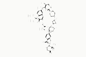 CNC(=O)COc1cc2cc(Nc3nc(N4CCC(O[C@H]5C[C@H](N6CCN(c7ccc8c(c7)CN(C7CCC(=O)NC7=O)C8=O)CC6)C5)CC4)ncc3Cl)ccc2n(C(C)C)c1=O